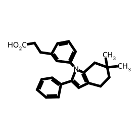 CC1(C)CCc2cc(-c3ccccc3)n(-c3cccc(CCC(=O)O)c3)c2C1